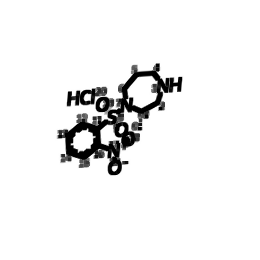 C[C@H]1CNCCCN1S(=O)(=O)c1ccccc1[N+](=O)[O-].Cl